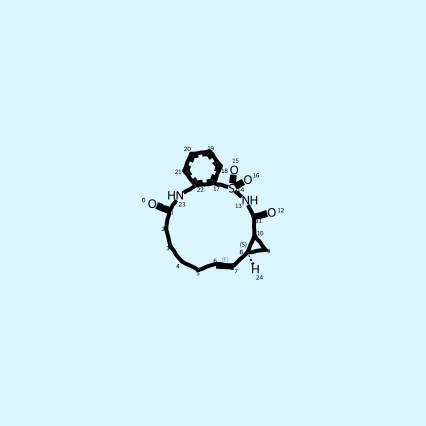 O=C1CCCC/C=C/[C@@H]2CC2C(=O)NS(=O)(=O)c2ccccc2N1